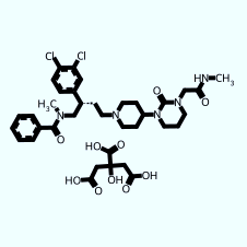 CNC(=O)CN1CCCN(C2CCN(CC[C@H](CN(C)C(=O)c3ccccc3)c3ccc(Cl)c(Cl)c3)CC2)C1=O.O=C(O)CC(O)(CC(=O)O)C(=O)O